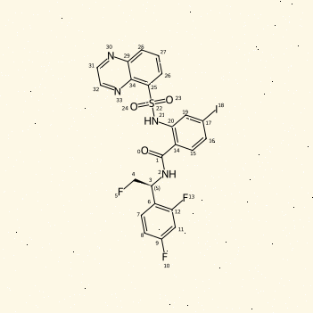 O=C(N[C@H](CF)c1ccc(F)cc1F)c1ccc(I)cc1NS(=O)(=O)c1cccc2nccnc12